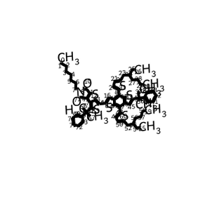 CCCCCCCCN1C(=O)c2sc3c(-c4cc5c(-c6ccc(CC(CC)CCCC)s6)c6sc(C(C)(CC)c7ccccc7)cc6c(-c6ccc(CC(CC)CCCC)s6)c5s4)sc(C(C)(C)c4ccccc4)c3c2C1=O